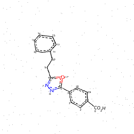 O=C(O)c1ccc(-c2nnc(CCc3ccccc3)o2)cc1